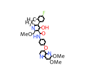 COCc1nc(C)c(-c2ccc(F)cc2C)c(O)c1C(=O)Nc1ccc(Oc2ccnc3cc(OC)c(OC)nc23)cc1